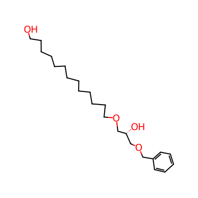 OCCCCCCCCCCCCCOC[C@H](O)COCc1ccccc1